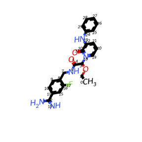 CCOC(C(=O)NCc1ccc(C(=N)N)cc1F)n1cccc(Nc2ccccc2)c1=O